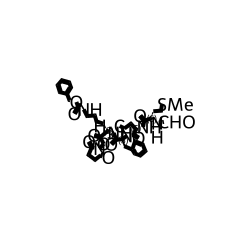 CSCC[C@H](NC=O)C(=O)N[C@H]1CC(C)N([C@@H](Cc2ccccc2)C(=O)N[C@@H](CCCCNC(=O)OCc2ccccc2)C(=O)ON2C(=O)CCC2=O)C1=O